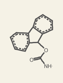 [NH]C(=O)OC1c2ccccc2-c2ccccc21